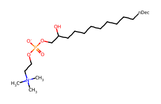 CCCCCCCCCCCCCCCCCCCC(O)COP(=O)([O-])OCC[N+](C)(C)C